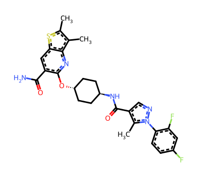 Cc1sc2cc(C(N)=O)c(O[C@H]3CC[C@H](NC(=O)c4cnn(-c5ccc(F)cc5F)c4C)CC3)nc2c1C